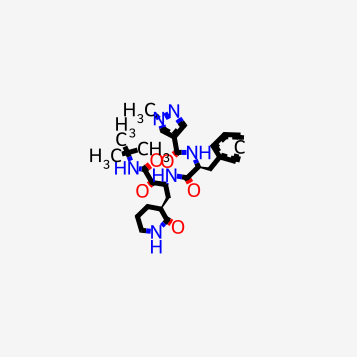 Cn1cc(C(=O)N[C@@H](Cc2ccccc2)C(=O)NC(C[C@@H]2CCCNC2=O)C(=O)C(=O)NC(C)(C)C)cn1